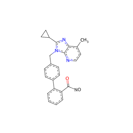 Cc1ccnc2c1nc(C1CC1)n2Cc1ccc(-c2ccccc2C(=O)N=O)cc1